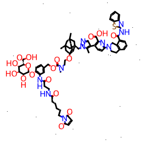 Cc1c(-c2ccc(N3CCc4cccc(C(=O)Nc5nc6ccccc6s5)c4C3)nc2C(=O)O)cnn1CC12CC3(C)CC(C)(C1)CC(OCCN(C)C(=O)OCc1ccc(O[C@@H]4O[C@H](C(=O)O)[C@@H](O)[C@H](O)[C@H]4O)c(NC(=O)CCNC(=O)CCCCCN4C(=O)C=CC4=O)c1)(C3)C2